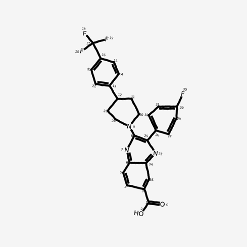 O=C(O)c1ccc2nc(N3CCC(c4ccc(C(F)(F)F)cc4)CC3)c(-c3ccc(F)cc3)nc2c1